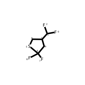 FC(F)C1CSC(F)(F)C1